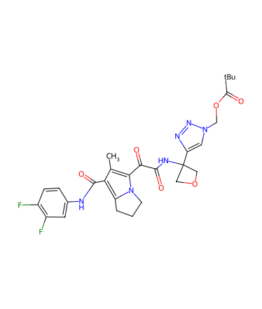 Cc1c(C(=O)Nc2ccc(F)c(F)c2)c2n(c1C(=O)C(=O)NC1(c3cn(COC(=O)C(C)(C)C)nn3)COC1)CCC2